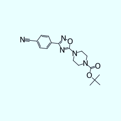 CC(C)(C)OC(=O)N1CCN(c2nc(-c3ccc(C#N)cc3)no2)CC1